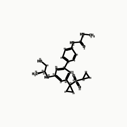 CNC(=O)Nc1ccc(-c2nc(N[C@@H](C)CO)cc(C3(S(=O)(=O)C4CC4)CC3)n2)cc1